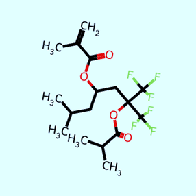 C=C(C)C(=O)OC(CC(C)C)CC(OC(=O)C(C)C)(C(F)(F)F)C(F)(F)F